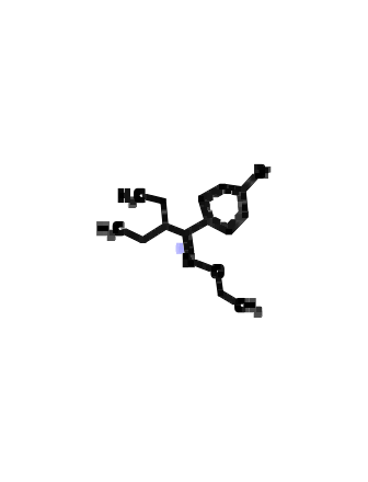 CCO/N=C(\c1ccc(Br)cc1)C(CC)CC